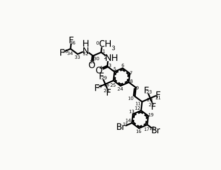 CC(NC(=O)c1ccc(/C=C/C(c2cc(Br)cc(Br)c2)C(F)(F)F)cc1C(F)(F)F)C(=O)NCC(F)F